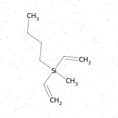 C=C[Si](C)(C=C)CCCC